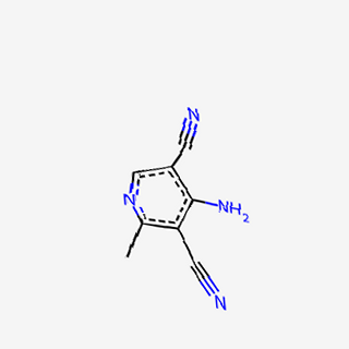 Cc1ncc(C#N)c(N)c1C#N